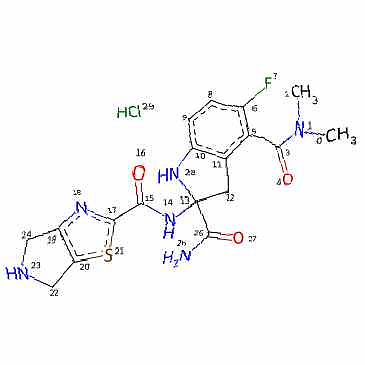 CN(C)C(=O)c1c(F)ccc2c1CC(NC(=O)c1nc3c(s1)CNC3)(C(N)=O)N2.Cl